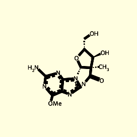 COc1nc(N)nc2c1ncn2[C@@H]1O[C@H](CO)[C@@H](O)[C@@]1(C)C(N)=O